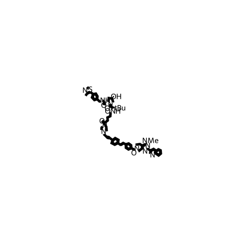 CNc1nc(-c2cnc3ccccc3c2)nc2c1CCN(C(=O)c1ccc(/C=C/c3ccc(C#CCN4CCN(C(=O)CCCC(=O)N[C@H](C(=O)N5C[C@H](O)C[C@H]5C(=O)NCc5ccc(-c6scnc6C)cc5)C(C)(C)C)CC4)cc3)cc1)C2